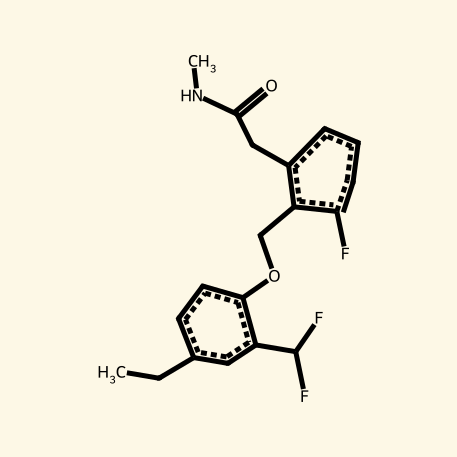 CCc1ccc(OCc2c(F)cccc2CC(=O)NC)c(C(F)F)c1